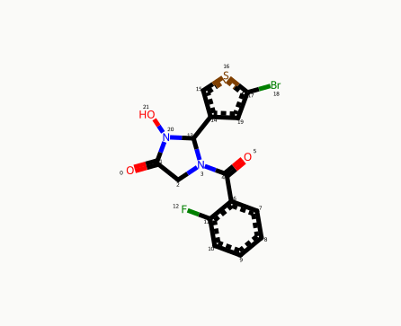 O=C1CN(C(=O)c2ccccc2F)C(c2csc(Br)c2)N1O